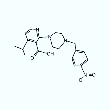 CC(C)c1ccnc(N2CCN(Cc3ccc([N+](=O)[O-])cc3)CC2)c1C(=O)O